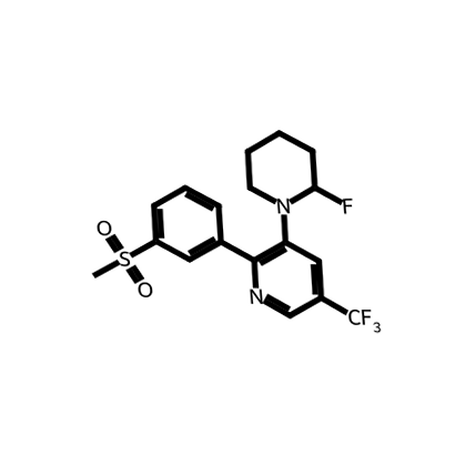 CS(=O)(=O)c1cccc(-c2ncc(C(F)(F)F)cc2N2CCCCC2F)c1